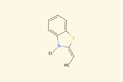 [CH]C=C1Sc2ccccc2N1CC